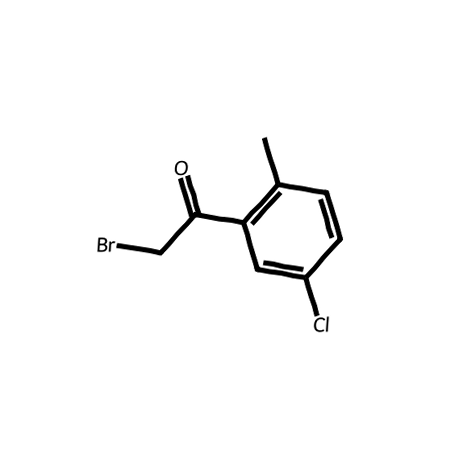 Cc1ccc(Cl)cc1C(=O)CBr